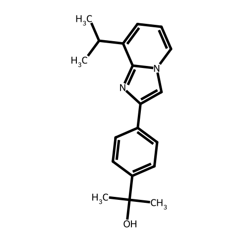 CC(C)c1cccn2cc(-c3ccc(C(C)(C)O)cc3)nc12